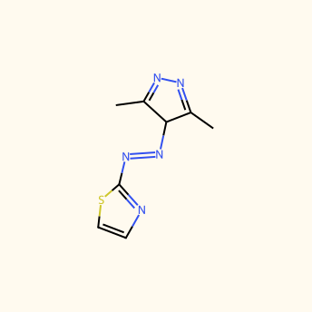 CC1=NN=C(C)C1N=Nc1nccs1